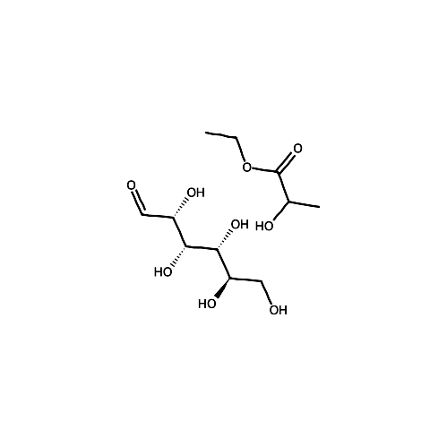 CCOC(=O)C(C)O.O=C[C@H](O)[C@@H](O)[C@H](O)[C@H](O)CO